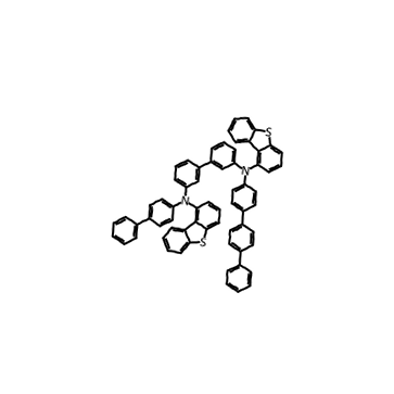 c1ccc(-c2ccc(-c3ccc(N(c4cccc(-c5cccc(N(c6ccc(-c7ccccc7)cc6)c6cccc7sc8ccccc8c67)c5)c4)c4cccc5sc6ccccc6c45)cc3)cc2)cc1